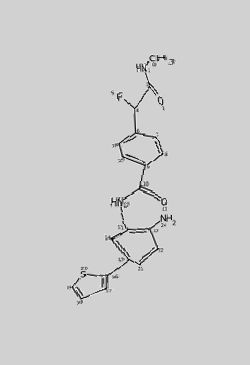 CNC(=O)C(F)c1ccc(C(=O)Nc2cc(-c3cccs3)ccc2N)cc1